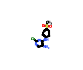 CS(=O)(=O)c1ccc(Nc2nc(Cl)ncc2N)cc1